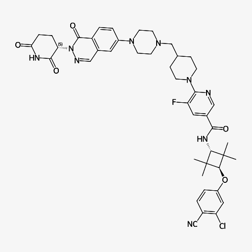 CC1(C)[C@H](NC(=O)c2cnc(N3CCC(CN4CCN(c5ccc6c(=O)n([C@H]7CCC(=O)NC7=O)ncc6c5)CC4)CC3)c(F)c2)C(C)(C)[C@H]1Oc1ccc(C#N)c(Cl)c1